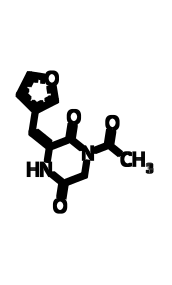 CC(=O)N1CC(=O)NC(=Cc2ccoc2)C1=O